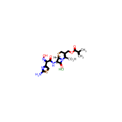 C=C(C)C(=O)OCC1=C(C(=O)O)N2C(=O)[C@@H](NC(=O)/C(=N\O)c3csc(N)n3)[C@H]2SC1.Cl